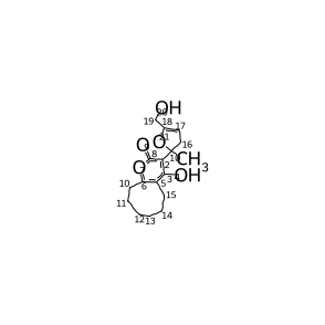 CC1(c2c(O)c3c(oc2=O)CCCCCC3)CC=C(CO)O1